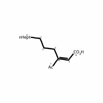 CCCCCCCCCC/C(=C\C(=O)O)C(C)=O